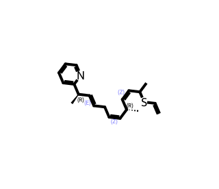 C=CSC(C)/C=C\[C@H](C)/C=C\C/C=C/[C@@H](C)c1ccccn1